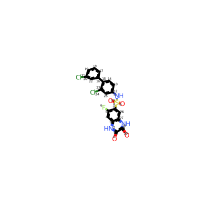 O=c1[nH]c2cc(F)c(S(=O)(=O)Nc3ccc(-c4cccc(Cl)c4)c(Cl)c3)cc2[nH]c1=O